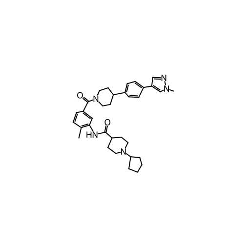 Cc1ccc(C(=O)N2CCC(c3ccc(-c4cnn(C)c4)cc3)CC2)cc1NC(=O)C1CCN(C2CCCC2)CC1